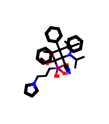 COC(OC)(C(C#N)(N(C(C)C)C(C)C)C(c1ccccc1)(c1ccccc1)c1ccccc1)P(O)(O)(O)CCCn1cccc1